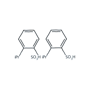 CC(C)c1ccccc1S(=O)(=O)O.CC(C)c1ccccc1S(=O)(=O)O